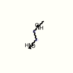 CCCCCC(=O)NCC/C=C\CCCC/C=C\CCCC(=O)NC1CC1